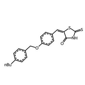 CCCCc1ccc(COc2ccc(C=C3SC(=S)NC3=O)cc2)cc1